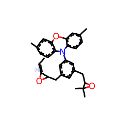 C/C=C1/OC1Cc1cc(CC2OC2(C)C)cc(N2c3ccc(C)cc3Oc3cc(C)ccc32)c1